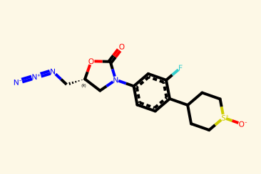 [N-]=[N+]=NC[C@H]1CN(c2ccc(C3CC[S+]([O-])CC3)c(F)c2)C(=O)O1